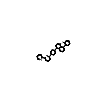 c1ccc(-c2cccc(-c3ccc(-c4ccc5c6c(cccc46)-c4ccccc4O5)cc3)n2)nc1